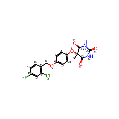 CC1(Oc2ccc(OCc3ccc(F)cc3Cl)cc2)C(=O)NC(=O)NC1=O